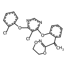 C=C(C1=NOCCO1)c1ccccc1Oc1ncnc(Oc2ccccc2Cl)c1Cl